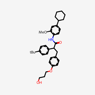 COc1cc(C2CCCCC2)ccc1NC(=O)C(Cc1ccc(OCCCO)cc1)c1ccc(C(C)(C)C)cc1